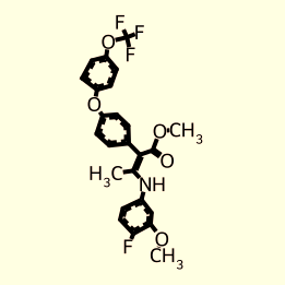 COC(=O)C(=C(C)Nc1ccc(F)c(OC)c1)c1ccc(Oc2ccc(OC(F)(F)F)cc2)cc1